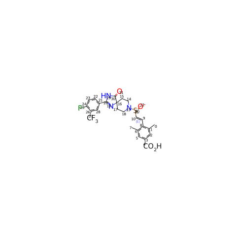 Cc1cc(C(=O)O)cc(C)c1/C=C/[S@+]([O-])N1CCC2(CC1)N=C(c1ccc(F)c(C(F)(F)F)c1)NC2=O